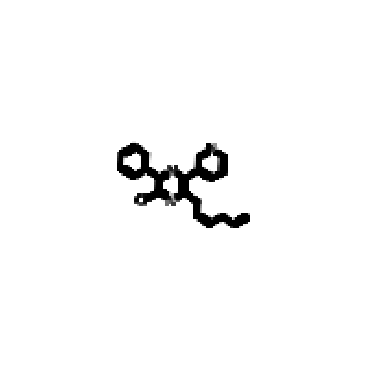 C=CC/C=C\Cc1nc(Cl)c(-c2ccccc2)nc1-c1cccnc1